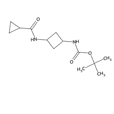 CC(C)(C)OC(=O)NC1CC(NC(=O)C2CC2)C1